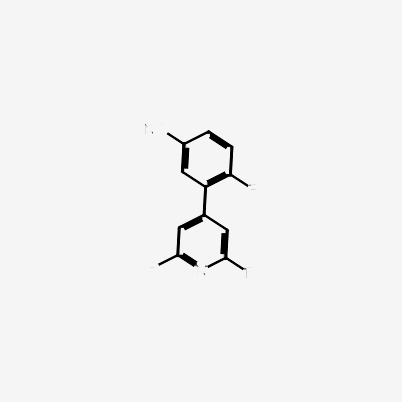 N#Cc1ccc(F)c(-c2cc(F)nc(F)c2)c1